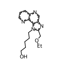 CCOCc1nc2cnc3cccnc3c2n1CCCCCO